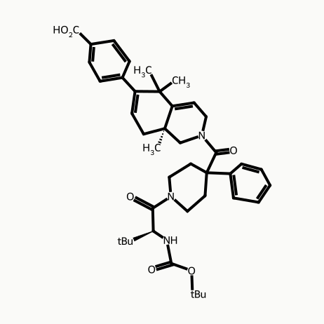 CC(C)(C)OC(=O)N[C@H](C(=O)N1CCC(C(=O)N2CC=C3C(C)(C)C(c4ccc(C(=O)O)cc4)=CC[C@]3(C)C2)(c2ccccc2)CC1)C(C)(C)C